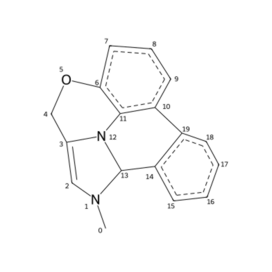 CN1C=C2COc3cccc4c3N2C1c1ccccc1-4